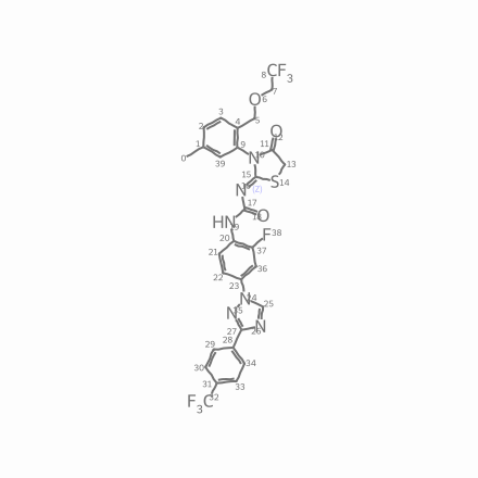 Cc1ccc(COCC(F)(F)F)c(N2C(=O)CS/C2=N\C(=O)Nc2ccc(-n3cnc(-c4ccc(C(F)(F)F)cc4)n3)cc2F)c1